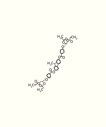 C=CC(=O)OCC(COc1ccc(C(=O)Oc2ccc3c(c2)C(C)c2cc(OC(=O)c4ccc(OC[C@@H](COC(=O)C=C)OC(=O)C=C)cc4)ccc2-3)cc1)OC(=O)C=C